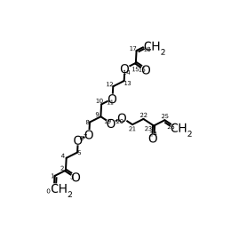 C=CC(=O)CCOOCC(COCCOC(=O)C=C)OOCCC(=O)C=C